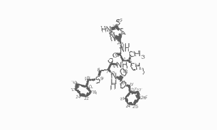 CC(C)[C@H](NC(=O)[C@H](CSCc1ccccc1)NC(=O)OCc1ccccc1)C(=O)Nc1n[nH]c(=S)s1